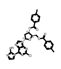 CCCc1nccn1-c1nc(Cl)nc2c1ncn2[C@@H]1C[C@H](OC(=O)c2ccc(C)cc2)[C@@H](COC(=O)c2ccc(C)cc2)O1